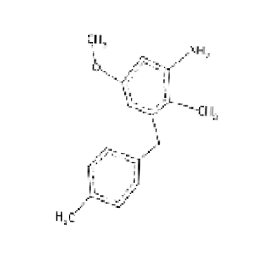 COc1cc(N)c(C)c(Cc2ccc(C)cc2)c1